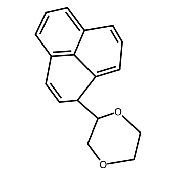 C1=CC(C2COCCO2)c2cccc3cccc1c23